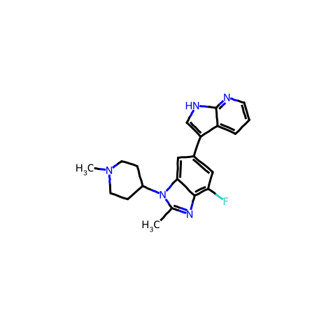 Cc1nc2c(F)cc(-c3c[nH]c4ncccc34)cc2n1C1CCN(C)CC1